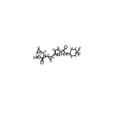 O=C(NC1CCC(F)(F)CC1)c1nc(C2CC2N(CC2CC2)C(=O)O)cs1